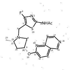 CC(=O)Nc1nc(F)c(CN2C[C@H](Oc3ccc4cnccc4n3)C[C@@H]2C)s1